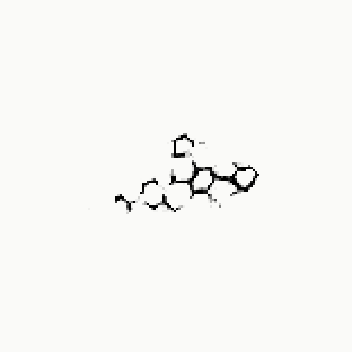 C=CC(=O)N1CCN2C(=O)c3c(N4CCC[C@H]4C)cc(-c4c(O)cccc4F)c(Cl)c3OC[C@H]2C1